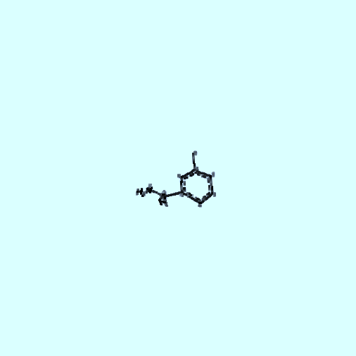 Cc1cccc(BN)c1